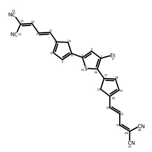 CCc1cc(C2=CC=C(/C=C/C=C(C#N)C#N)C2)sc1C1=CC=C(/C=C/C=C(C#N)C#N)C1